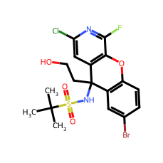 CC(C)(C)S(=O)(=O)NC1(CCO)c2cc(Br)ccc2Oc2c1cc(Cl)nc2F